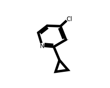 Clc1[c]c(C2CC2)ncc1